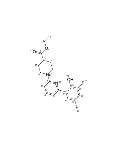 CCOC(=O)C1CCN(c2cccc(-c3cc(F)cc(F)c3O)n2)CC1